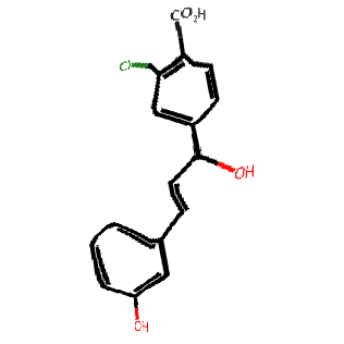 O=C(O)c1ccc(C(O)C=Cc2cccc(O)c2)cc1Cl